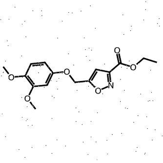 CCOC(=O)c1cc(COc2ccc(OC)c(OC)c2)on1